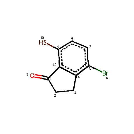 O=C1CCc2c(Br)ccc(S)c21